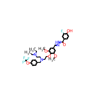 CCN(CC)CCN(CCOc1c(OC)cc(/C=N/NC(=O)c2ccc(O)c(F)c2)cc1OC)Cc1ccc(OC(F)(F)F)cc1